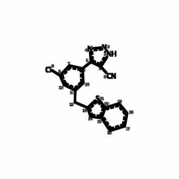 N#Cc1[nH]nnc1-c1cc(Cl)cc(Cc2cc3ccccc3s2)c1